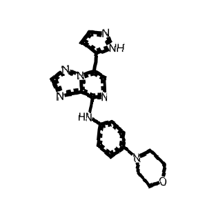 c1cc(-c2cnc(Nc3ccc(N4CCOCC4)cc3)c3ncnn23)[nH]n1